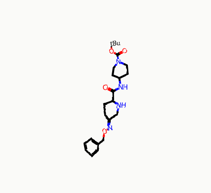 CC(C)(C)OC(=O)N1CCC(NC(=O)C2CCC(=NOCc3ccccc3)CN2)CC1